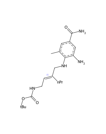 CCC/C(=C\CNC(=O)OC(C)(C)C)CNc1c(C)cc(C(N)=O)cc1N